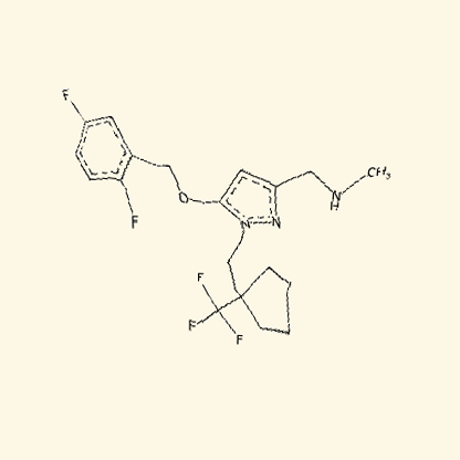 CNCc1cc(OCc2cc(F)ccc2F)n(CC2(C(F)(F)F)CCCC2)n1